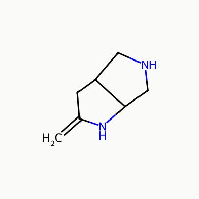 C=C1CC2CNCC2N1